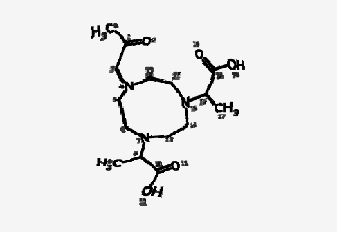 CC(=O)CN1CCN(C(C)C(=O)O)CCN(C(C)C(=O)O)CC1